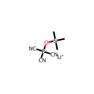 C[Si](C)(C)O[B-](C#N)(C#N)C#N.[Li+]